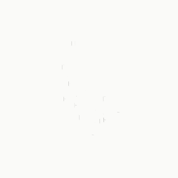 OCCC(CC(CC(F)(C(F)(F)F)C(F)(F)F)C(F)(F)F)C(F)(F)F